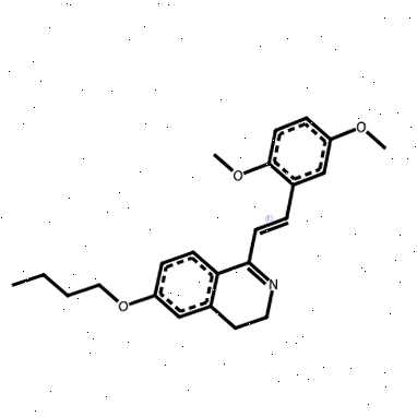 CCCCOc1ccc2c(c1)CCN=C2/C=C/c1cc(OC)ccc1OC